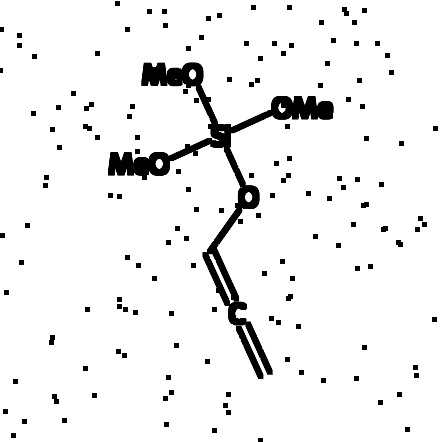 C=C=CO[Si](OC)(OC)OC